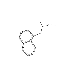 CN[C@@H](Cc1cccc2ccncc12)C(=O)O